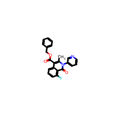 Cc1c(C(=O)OCc2ccccc2)c2cccc(F)c2c(=O)n1-c1cccnc1